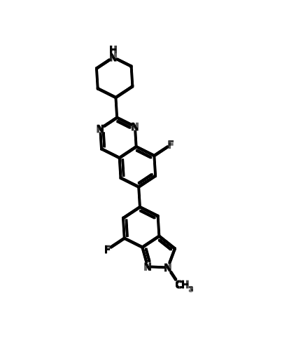 Cn1cc2cc(-c3cc(F)c4nc(C5CCNCC5)ncc4c3)cc(F)c2n1